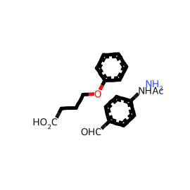 CC(=O)Nc1ccc(C=O)cc1.N.O=C(O)CCCOc1ccccc1